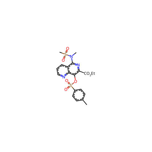 CCOC(=O)c1nc(N(C)S(C)(=O)=O)c2cccnc2c1OS(=O)(=O)c1ccc(C)cc1